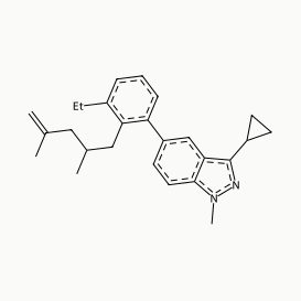 C=C(C)CC(C)Cc1c(CC)cccc1-c1ccc2c(c1)c(C1CC1)nn2C